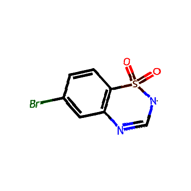 O=S1(=O)[N]C=Nc2cc(Br)ccc21